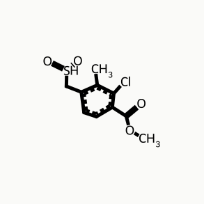 COC(=O)c1ccc(C[SH](=O)=O)c(C)c1Cl